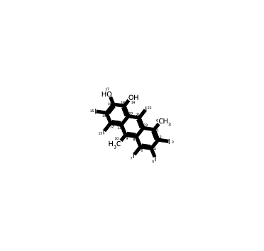 Cc1c(I)c(I)c(I)c2c(C)c3c(I)c(I)c(O)c(O)c3c(I)c12